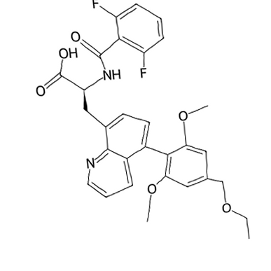 CCOCc1cc(OC)c(-c2ccc(C[C@H](NC(=O)c3c(F)cccc3F)C(=O)O)c3ncccc23)c(OC)c1